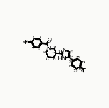 O=C(c1ccc(F)cc1)N1CCCC(c2ncc(-c3ccc(F)cc3)[nH]2)C1